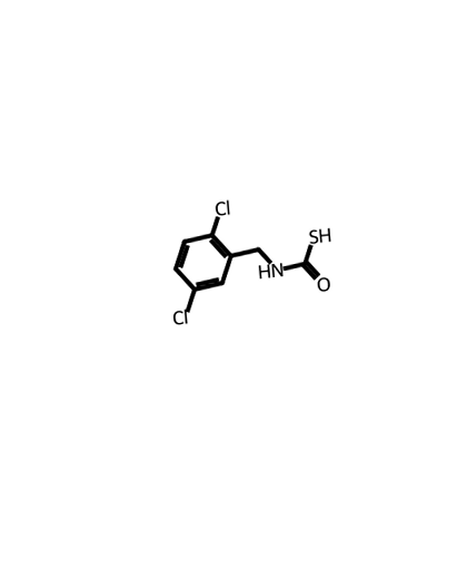 O=C(S)NCc1cc(Cl)ccc1Cl